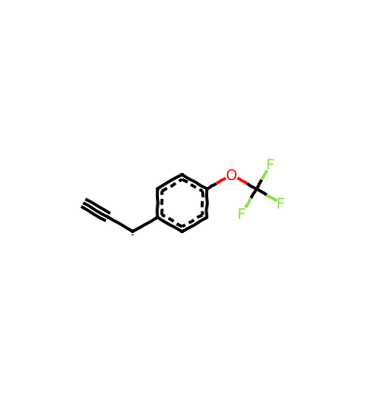 C#C[CH]c1ccc(OC(F)(F)F)cc1